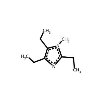 CCc1nc(CC)n(C)c1CC